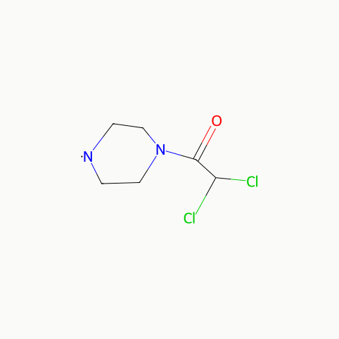 O=C(C(Cl)Cl)N1CC[N]CC1